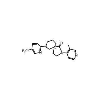 Cc1cnccc1N1CC[C@@]2(CCCN(c3ccc(C(F)(F)F)cn3)C2)C1=O